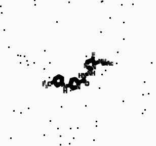 CC(=O)CNc1nc(NNC(=O)c2ccc(Nc3cccc(C(F)(F)F)c3)cn2)ncc1F